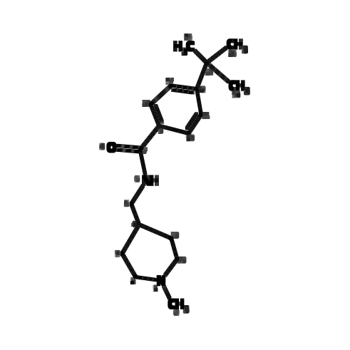 CN1CCC(CNC(=O)c2ccc(C(C)(C)C)cc2)CC1